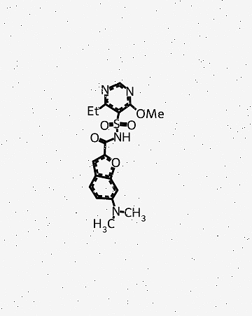 CCc1ncnc(OC)c1S(=O)(=O)NC(=O)c1cc2ccc(N(C)C)cc2o1